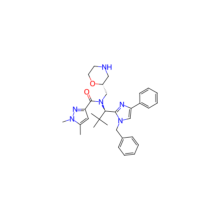 Cc1cc(C(=O)N(C[C@H]2CNCCO2)[C@@H](c2nc(-c3ccccc3)cn2Cc2ccccc2)C(C)(C)C)nn1C